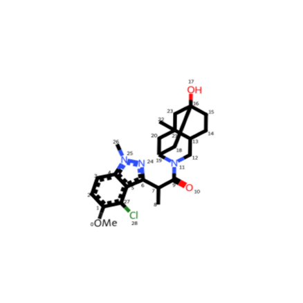 COc1ccc2c(c(C(C)C(=O)N3CC4CCC5(O)CC3CC4(C)C5)nn2C)c1Cl